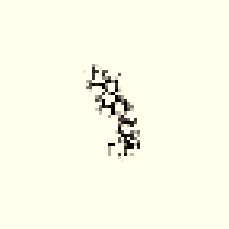 CCCc1ccc2c(cc(F)c3cc(-c4ccc(OC(F)(F)F)cc4)ccc32)c1F